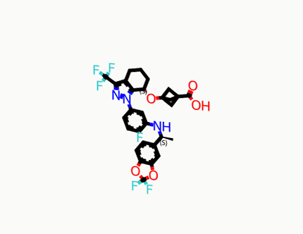 C[C@H](Nc1cc(-n2nc(C(F)(F)F)c3c2[C@@H](OC24CC(C(=O)O)(C2)C4)CCC3)ccc1F)c1ccc2c(c1)OC(F)(F)O2